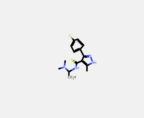 Cc1[nH]nc(-c2ccc(F)cc2)c1C(=S)NC(C(=O)O)N(C)C